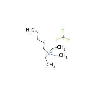 CCCCC[N+](CC)(CC)CC.FC(F)F